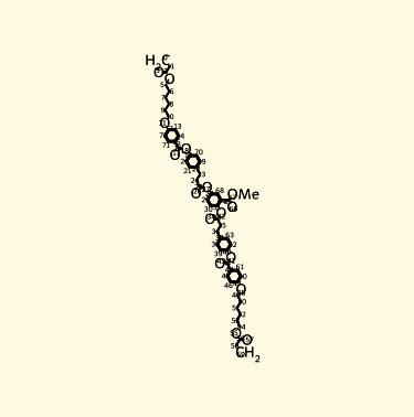 C=CC(=O)OCCCCCCOc1ccc(C(=O)Oc2ccc(CCC(=O)Oc3ccc(OC(=O)CCc4ccc(OC(=O)c5ccc(OCCCCCCOC(=O)C=C)cc5)cc4)c(C(=O)OC)c3)cc2)cc1